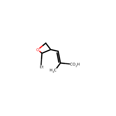 CCC1OCC1C=C(C)C(=O)O